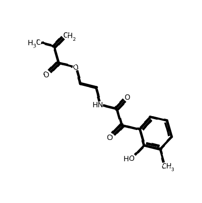 C=C(C)C(=O)OCCNC(=O)C(=O)c1cccc(C)c1O